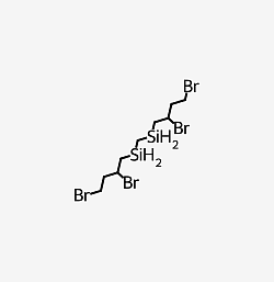 BrCCC(Br)C[SiH2]C[SiH2]CC(Br)CCBr